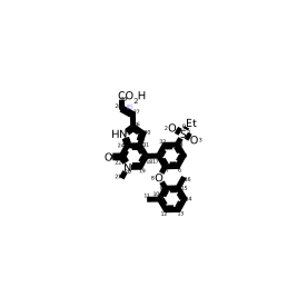 CCS(=O)(=O)c1ccc(Oc2c(C)cccc2C)c(-c2cn(C)c(=O)c3[nH]c(/C=C/C(=O)O)cc23)c1